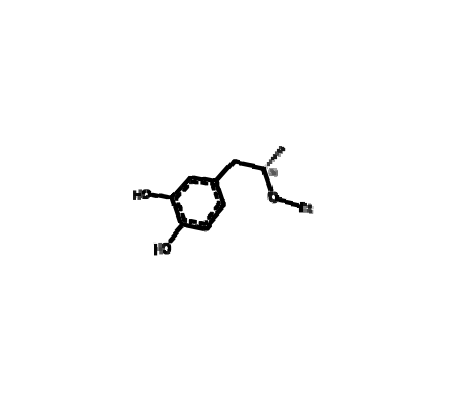 CCO[C@@H](C)Cc1ccc(O)c(O)c1